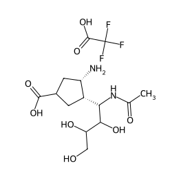 CC(=O)NC(C(O)C(O)CO)[C@@H]1CC(C(=O)O)C[C@@H]1N.O=C(O)C(F)(F)F